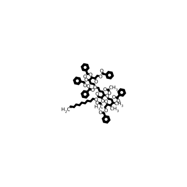 C=CCCCCCCCCOC1OC(COC2OC(COC(=O)c3ccccc3)C(OC(=O)c3ccccc3)C(OC(=O)c3ccccc3)C2OC(=O)c2ccccc2)C(OC(C)=O)C(OC2OC(COC(=O)c3ccccc3)C(C)C(C)C2OC(=O)c2ccccc2)C1OC(C)=O